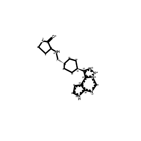 O=C1SCCC1NC[C@H]1CC[C@H](c2nnn3cnc4[nH]ccc4c23)CC1